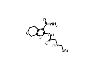 CCC(C)CNCC(=O)Nc1sc2c(c1C(N)=O)CCOC2